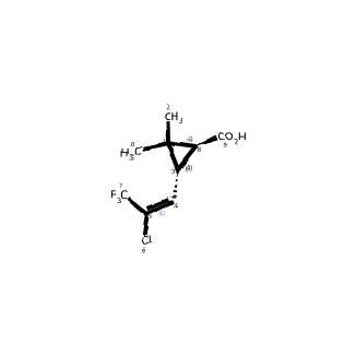 CC1(C)[C@@H](/C=C(/Cl)C(F)(F)F)[C@@H]1C(=O)O